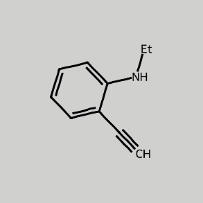 C#Cc1ccccc1NCC